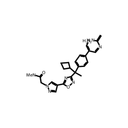 C=C(N)/N=C\C(=C/N)c1ccc(C(C)(c2noc(-c3cnn(CC(=O)NC)c3)n2)C2CCC2)cc1